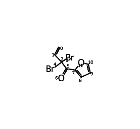 C=CC(Br)(Br)C(=O)c1ccco1